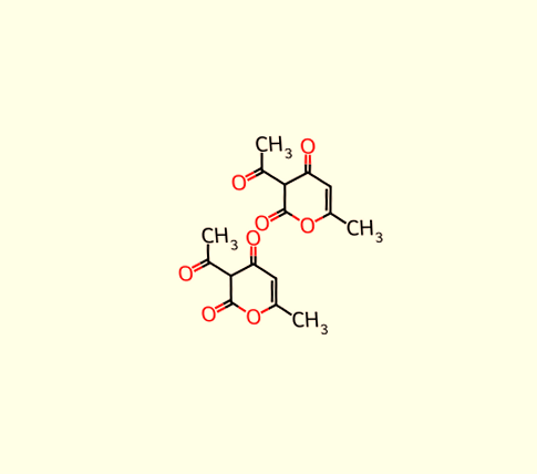 CC(=O)C1C(=O)C=C(C)OC1=O.CC(=O)C1C(=O)C=C(C)OC1=O